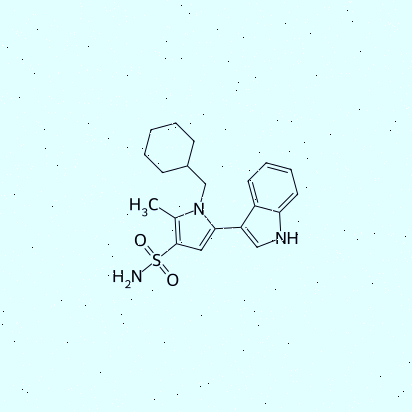 Cc1c(S(N)(=O)=O)cc(-c2c[nH]c3ccccc23)n1CC1CCCCC1